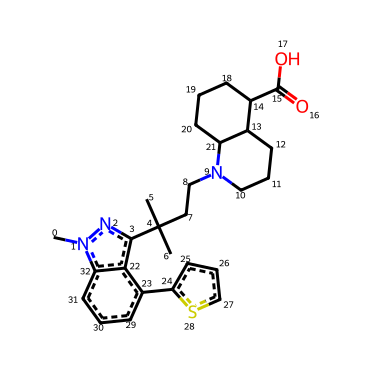 Cn1nc(C(C)(C)CCN2CCCC3C(C(=O)O)CCCC32)c2c(-c3cccs3)cccc21